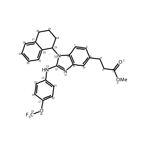 COC(=O)CCc1ccc2c(c1)nc(Nc1ccc(OC(F)(F)F)cc1)n2C1CCCc2ccccc21